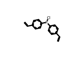 C=Cc1ccc(P(Cl)c2ccc(C=C)cc2)cc1